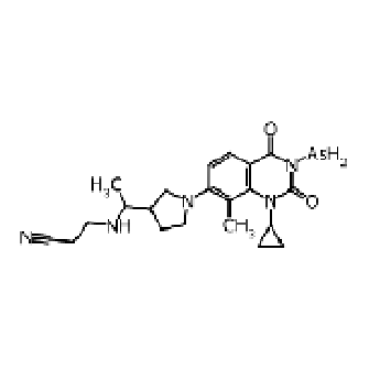 Cc1c(N2CCC(C(C)NCCC#N)C2)ccc2c(=O)n([AsH2])c(=O)n(C3CC3)c12